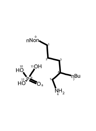 CCCCCCCCCCCCC(CN)CCCC.O=P(O)(O)O